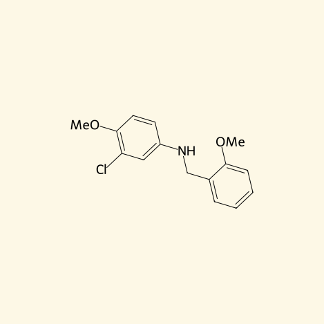 COc1ccc(NCc2ccccc2OC)cc1Cl